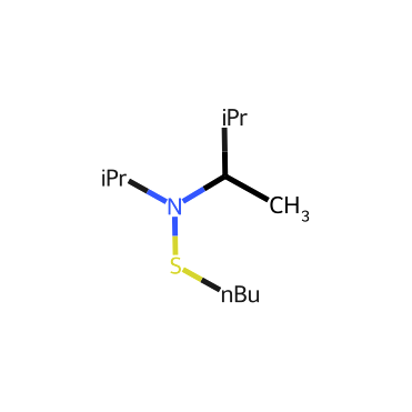 CCCCSN(C(C)C)C(C)C(C)C